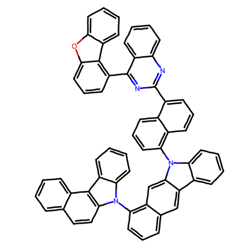 c1cc(-n2c3ccccc3c3c4ccccc4ccc32)c2cc3c(cc2c1)c1ccccc1n3-c1cccc2c(-c3nc(-c4cccc5oc6ccccc6c45)c4ccccc4n3)cccc12